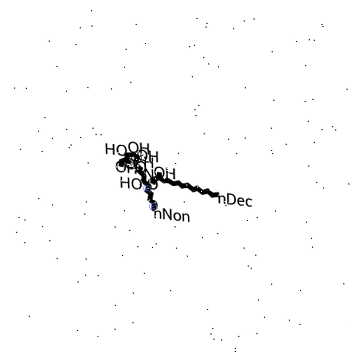 CCCCCCCCC/C=C/CC/C=C/C(O)C(CO[C@@H]1OC(CO)[C@@H](O)C(O)[C@@H]1O)NC(=O)C(O)CCCCCCCCCCCCCCCCCCCCCC